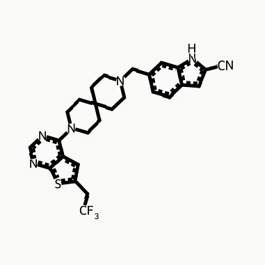 N#Cc1cc2ccc(CN3CCC4(CC3)CCN(c3ncnc5sc(CC(F)(F)F)cc35)CC4)cc2[nH]1